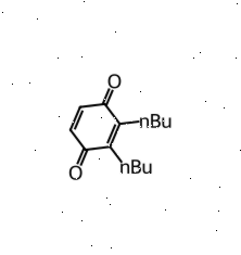 CCCCC1=C(CCCC)C(=O)C=CC1=O